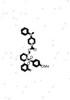 COc1ccc(S(=O)(=O)N2[C@@H](COC(=O)N3CCC(N(C)c4ccccc4)CC3)CCC[C@H]2c2cccc(F)c2)cc1